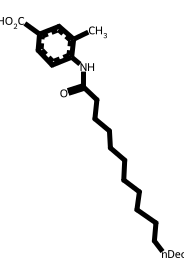 CCCCCCCCCCCCCCCCCCCCC(=O)Nc1ccc(C(=O)O)cc1C